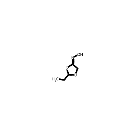 CCC1OCC(=NO)S1